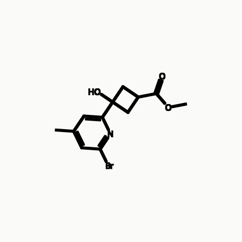 COC(=O)C1CC(O)(c2cc(C)cc(Br)n2)C1